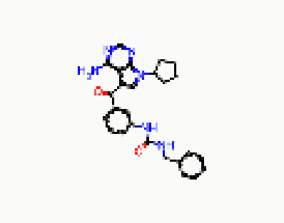 Nc1ncnc2c1c(C(=O)c1cccc(NC(=O)NCc3ccccc3)c1)cn2C1CCCC1